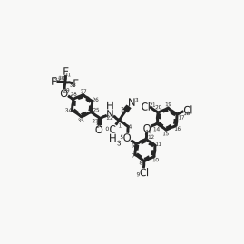 CC(C#N)(COc1cc(Cl)ccc1Oc1ccc(Cl)cc1Cl)NC(=O)c1ccc(OC(F)(F)F)cc1